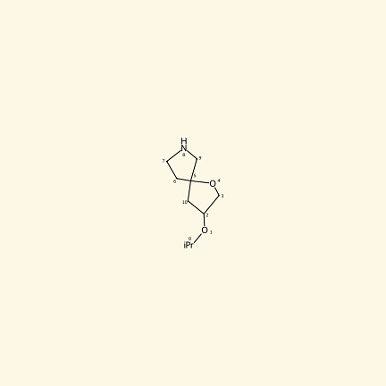 CC(C)OC1COC2(CCNC2)C1